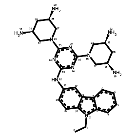 CCn1c2ccccc2c2cc(Nc3nc(N4C[C@H](N)C[C@H](N)C4)nc(N4C[C@H](N)C[C@H](N)C4)n3)ccc21